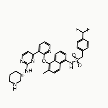 Cc1ccc2c(NS(=O)(=O)Cc3ccc(C(F)F)cc3)cccc2c1Oc1ncccc1-c1ccnc(N[C@H]2CCCNC2)n1